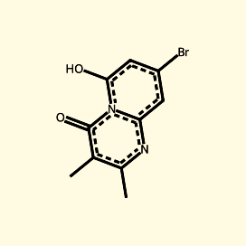 Cc1nc2cc(Br)cc(O)n2c(=O)c1C